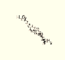 CCCCCCC[C@H]1CC[C@H]([C@H]2CC[C@H](OCCC[SiH2]I)CC2)CC1